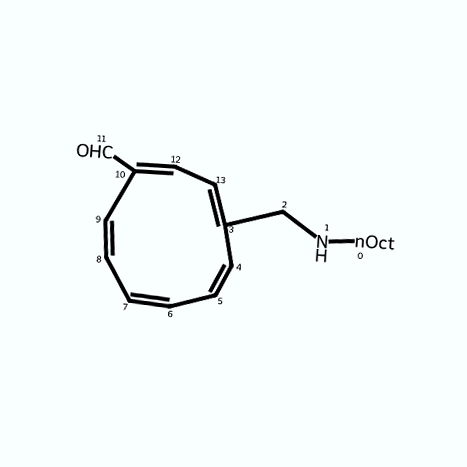 CCCCCCCCNCc1ccccccc(C=O)cc1